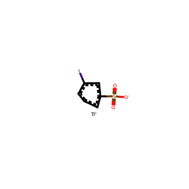 O=S(=O)([O-])c1cccc(I)c1.[Tl+]